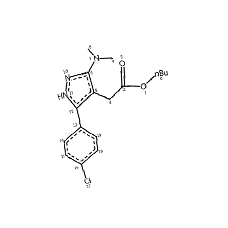 CCCCOC(=O)Cc1c(N(C)C)n[nH]c1-c1ccc(Cl)cc1